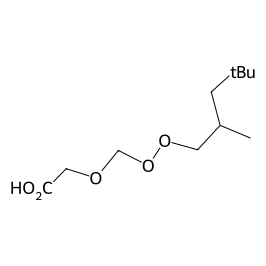 CC(COOCOCC(=O)O)CC(C)(C)C